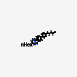 C=CCCCc1ccc(-c2ccc(-c3ncc(CCCCCC)cn3)cc2)cc1